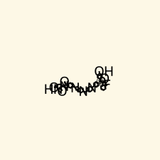 O=C1CCC(N2Cc3cc(N4CC5(CCN(CC6CCN(c7ccc([C@H]8c9ccc(O)cc9OC[C@H]8c8ccccc8F)cc7)CC6)CC5)C4)ccc3C2=O)C(=O)N1